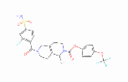 CC1C2=C(CCN1C(=O)Oc1ccc(OC(F)(F)F)cc1)CN(C(=O)c1ccc(S(N)(=O)=O)cc1F)CC2